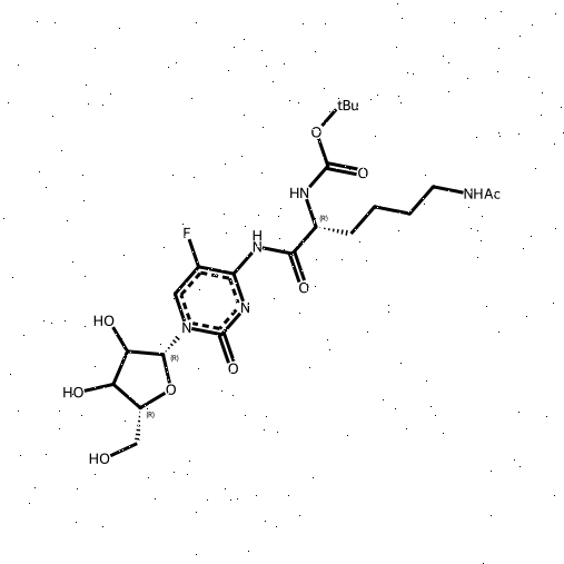 CC(=O)NCCCC[C@@H](NC(=O)OC(C)(C)C)C(=O)Nc1nc(=O)n([C@@H]2O[C@H](CO)C(O)C2O)cc1F